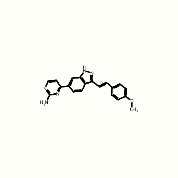 COc1ccc(/C=C/c2n[nH]c3cc(-c4ccnc(N)n4)ccc23)cc1